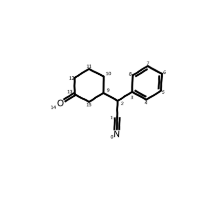 N#CC(c1ccccc1)C1CCCC(=O)C1